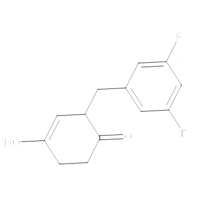 O=C1CCC(O)=CC1Cc1cc(F)cc(F)c1